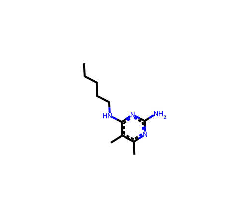 CCCCCNc1nc(N)nc(C)c1C